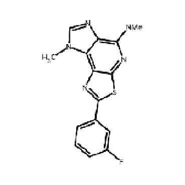 CNc1nc2sc(-c3cccc(F)c3)nc2c2c1ncn2C